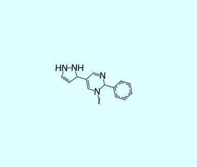 IN1C=C(C2C=CNN2)C=NC1c1ccccc1